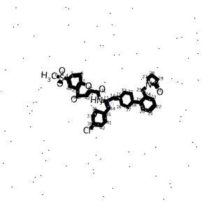 CS(=O)(=O)c1ccc2oc(C(=O)N/C(C=C3CCC(c4ccccc4CN4CCCC4=O)CC3)=C\c3ccc(Cl)cc3)cc(=O)c2c1